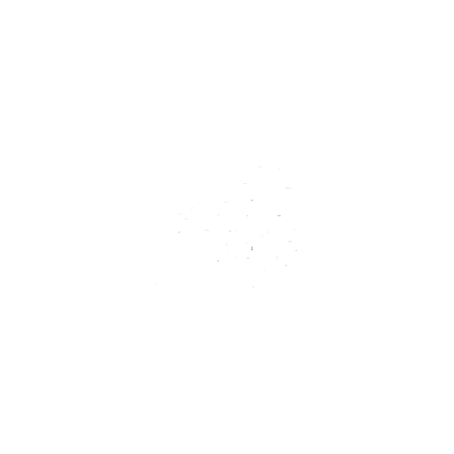 CCC[CH2][Sn][C](c1ccccc1)(c1ccccc1)C(c1ccccc1)(c1ccccc1)C(C)(c1ccccc1)c1ccccc1